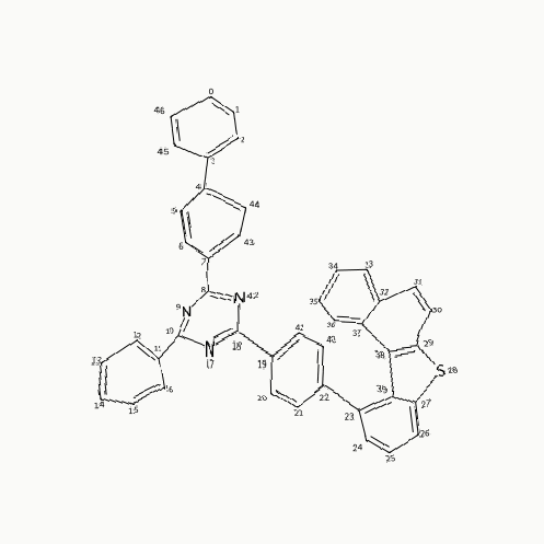 c1ccc(-c2ccc(-c3nc(-c4ccccc4)nc(-c4ccc(-c5cccc6sc7ccc8ccccc8c7c56)cc4)n3)cc2)cc1